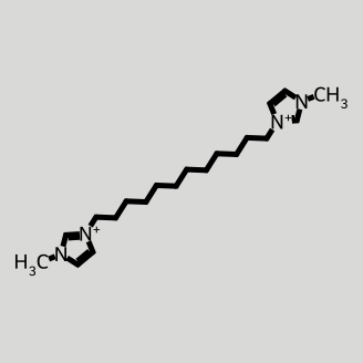 Cn1cc[n+](CCCCCCCCCCCC[n+]2ccn(C)c2)c1